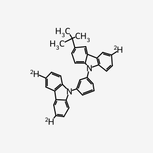 [2H]c1ccc2c(c1)c1cc([2H])ccc1n2-c1cccc(-n2c3ccc([2H])cc3c3cc(C(C)(C)C)ccc32)c1